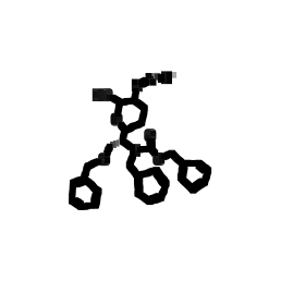 [N-]=[N+]=NC1CCC([C@@H](COCc2ccccc2)N(Cc2ccccc2)C(=O)OCc2ccccc2)OC1O